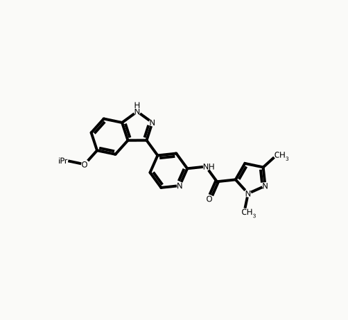 Cc1cc(C(=O)Nc2cc(-c3n[nH]c4ccc(OC(C)C)cc34)ccn2)n(C)n1